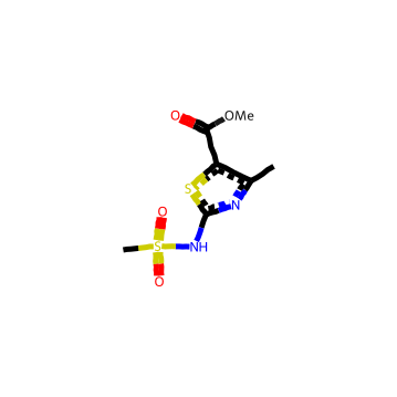 COC(=O)c1sc(NS(C)(=O)=O)nc1C